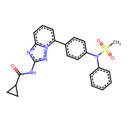 CS(=O)(=O)N(c1ccccc1)c1ccc(-c2cccc3nc(NC(=O)C4CC4)nn23)cc1